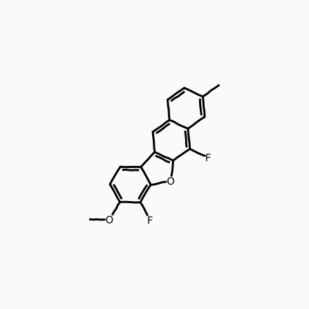 COc1ccc2c(oc3c(F)c4cc(C)ccc4cc32)c1F